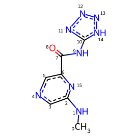 CNc1cncc(C(=O)Nc2nnn[nH]2)n1